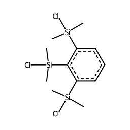 C[Si](C)(Cl)c1cccc([Si](C)(C)Cl)c1[Si](C)(C)Cl